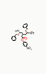 CCCC(CC(CC(=O)Oc1ccc([N+](=O)[O-])cc1)CC(CCC)SCc1ccccc1)SCc1ccccc1